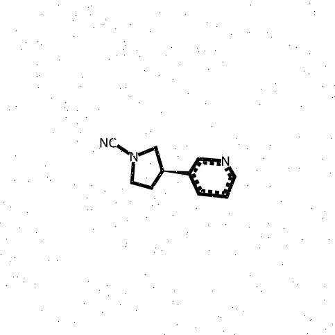 N#CN1CC[C@H](c2cccnc2)C1